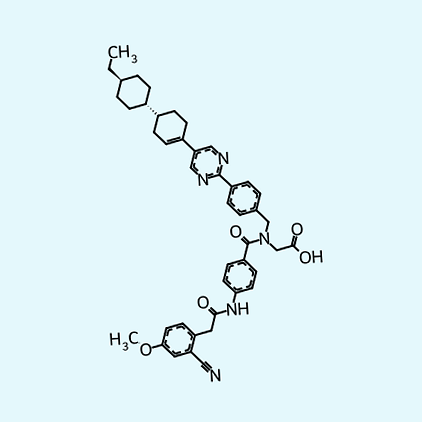 CC[C@H]1CC[C@H](C2CC=C(c3cnc(-c4ccc(CN(CC(=O)O)C(=O)c5ccc(NC(=O)Cc6ccc(OC)cc6C#N)cc5)cc4)nc3)CC2)CC1